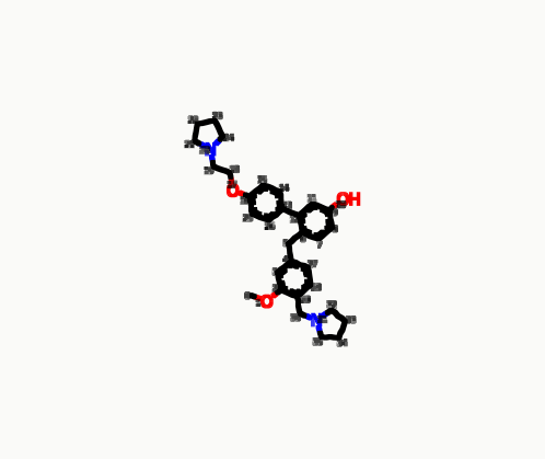 COc1cc(Cc2ccc(O)cc2-c2ccc(OCCN3CCCC3)cc2)ccc1CN1CCCC1